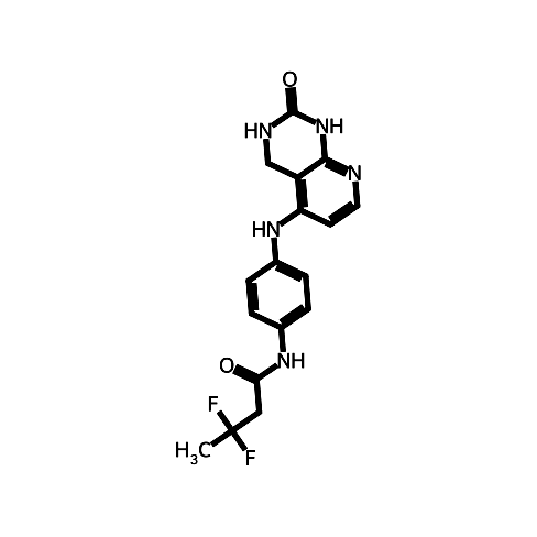 CC(F)(F)CC(=O)Nc1ccc(Nc2ccnc3c2CNC(=O)N3)cc1